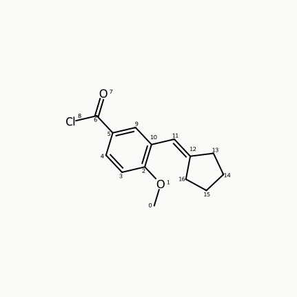 COc1ccc(C(=O)Cl)cc1C=C1CCCC1